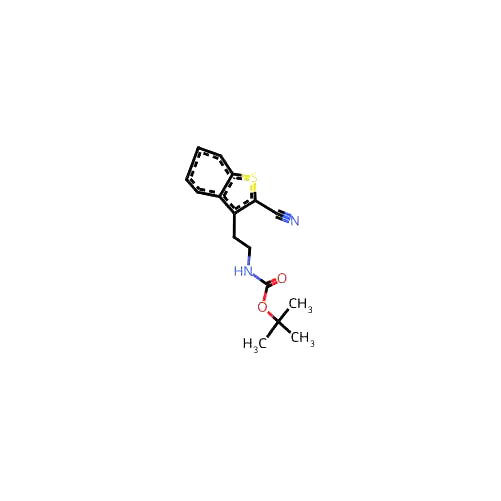 CC(C)(C)OC(=O)NCCc1c(C#N)sc2ccccc12